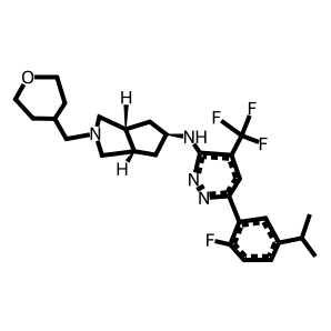 CC(C)c1ccc(F)c(-c2cc(C(F)(F)F)c(N[C@H]3C[C@@H]4CN(CC5CCOCC5)C[C@@H]4C3)nn2)c1